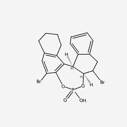 O=P1(O)Oc2c(Br)cc3c(c2[C@H]2c4ccccc4CC(Br)[C@H]2O1)CCCC3